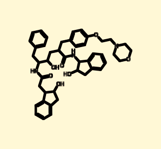 O=C(CC1c2ccccc2CC1O)NC(Cc1ccccc1)C(O)CC(Cc1ccc(OCCN2CCOCC2)cc1)C(=O)NC1c2ccccc2CC1O